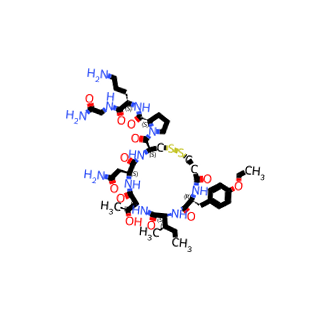 CCOc1ccc(C[C@H]2NC(=O)CCSSC[C@H](C(=O)N3CCC[C@H]3C(=O)N[C@@H](CCCN)C(=O)NCC(N)=O)NC(=O)[C@H](CC(N)=O)NC(=O)[C@H]([C@@H](C)O)NC(=O)[C@H]([C@@H](C)CC)NC2=O)cc1